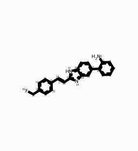 Nc1ccccc1-c1ccc2[nH]c(/C=C/c3ccc(CF)cc3)nc2c1